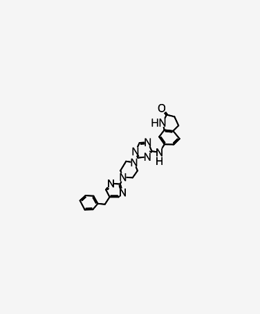 O=C1CCc2ccc(Nc3ncnc(N4CCN(c5ncc(Cc6ccccc6)cn5)CC4)n3)cc2N1